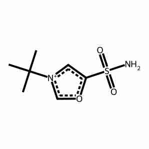 CC(C)(C)[n+]1coc(S(N)(=O)=O)c1